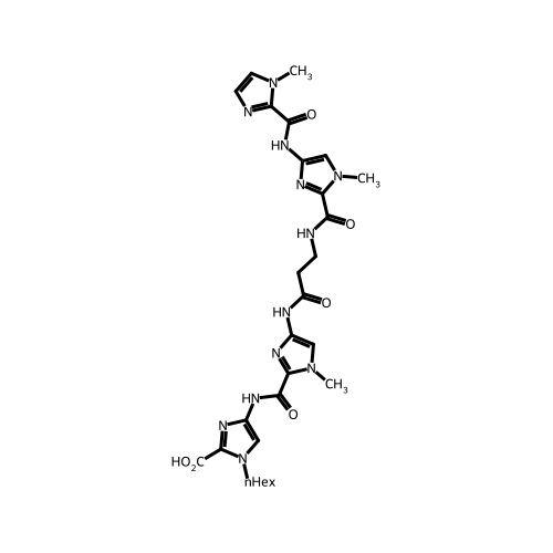 CCCCCCn1cc(NC(=O)c2nc(NC(=O)CCNC(=O)c3nc(NC(=O)c4nccn4C)cn3C)cn2C)nc1C(=O)O